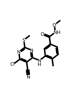 CONC(=O)c1ccc(C)c(Nc2nc(SC)nc(Cl)c2C#N)c1